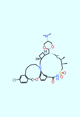 C[C@@H]1CC[C@@H]([C@H]2OC[C@@H](N(C)C)CO2)[C@@H]2CC[C@H]2CN2CCCCc3cc(Cl)ccc3COc3ccc(cc32)C(=O)NS(=O)(=O)C[C@@H]1C